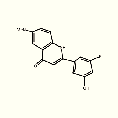 CNc1ccc2[nH]c(-c3cc(O)cc(F)c3)cc(=O)c2c1